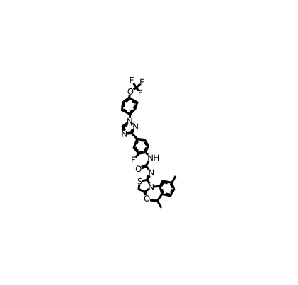 Cc1ccc(C(C)C)c(N2C(=O)CSC2=NC(=O)Nc2ccc(-c3ncn(-c4ccc(OC(F)(F)F)cc4)n3)cc2F)c1